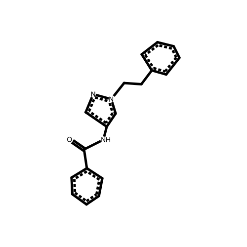 O=C(Nc1cnn(CCc2ccccc2)c1)c1ccccc1